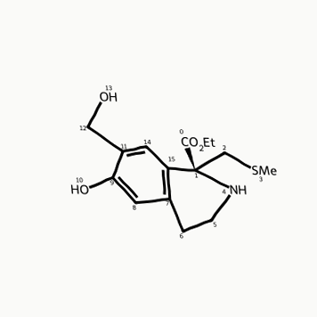 CCOC(=O)[C@@]1(CSC)NCCc2cc(O)c(CO)cc21